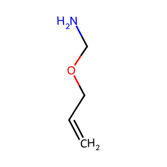 C=CCOCN